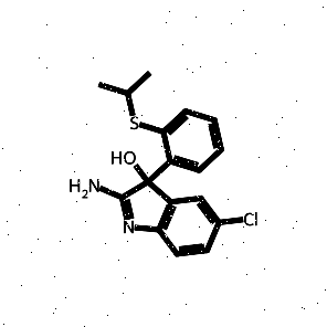 CC(C)Sc1ccccc1C1(O)C(N)=Nc2ccc(Cl)cc21